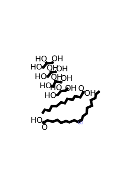 CCCCCCCC/C=C\CCCCCCCC(=O)O.CCCCCCCCCCCC(=O)O.OCC(O)CO.OCC(O)CO.OCC(O)CO.OCC(O)CO